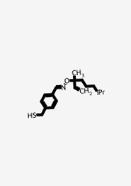 C=CC(C)(CCCC(C)C)ON=Cc1ccc(CS)cc1